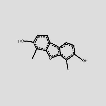 Cc1c(O)ccc2c1oc1c(C)c(O)ccc12